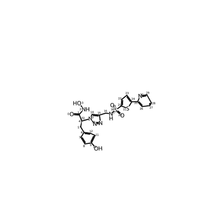 O=C(NO)[C@H](Cc1ccc(O)cc1)n1cc(CNS(=O)(=O)c2ccc(-c3ccccn3)s2)nn1